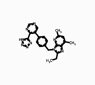 CCc1nc2c(C)cc(C)nc2n1Cc1ccc(-c2cncnc2-c2nnn[nH]2)cc1